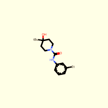 CCc1cccc(NC(=O)N2CCC(O)(C(C)(C)C)CC2)c1